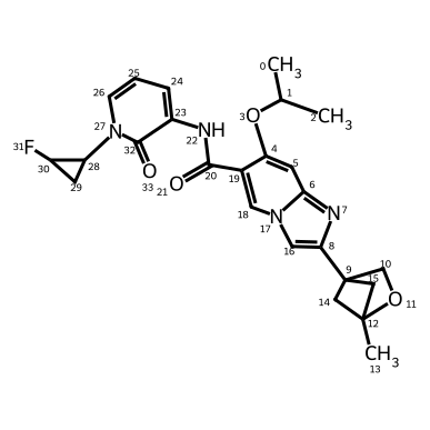 CC(C)Oc1cc2nc(C34COC(C)(C3)C4)cn2cc1C(=O)Nc1cccn(C2CC2F)c1=O